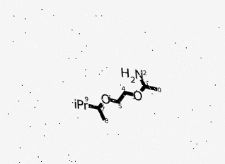 CC(N)OCCOC(C)C(C)C